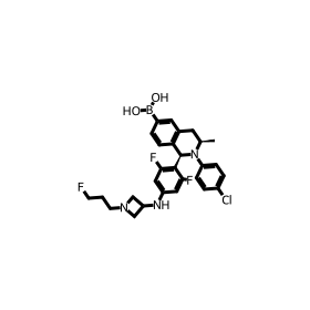 C[C@@H]1Cc2cc(B(O)O)ccc2[C@H](c2c(F)cc(NC3CN(CCCF)C3)cc2F)N1c1ccc(Cl)cc1